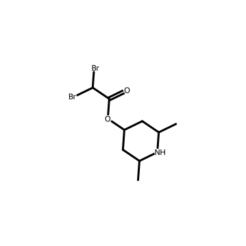 CC1CC(OC(=O)C(Br)Br)CC(C)N1